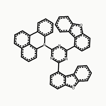 c1ccc2c(c1)-c1cccc3cccc(c13)N2c1nc(-c2cccc3oc4ccccc4c23)nc(-c2cccc3oc4ccccc4c23)n1